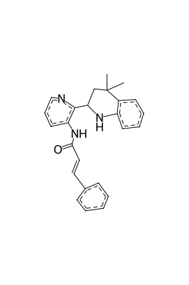 CC1(C)CC(c2ncccc2NC(=O)C=Cc2ccccc2)Nc2ccccc21